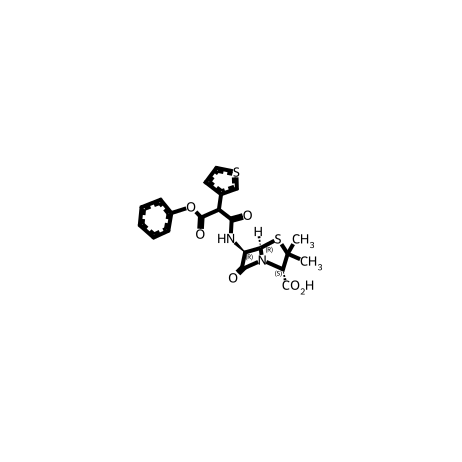 CC1(C)S[C@@H]2[C@H](NC(=O)C(C(=O)Oc3ccccc3)c3ccsc3)C(=O)N2[C@H]1C(=O)O